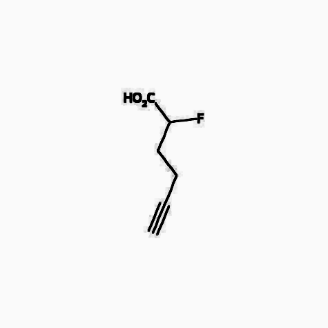 C#CCCC(F)C(=O)O